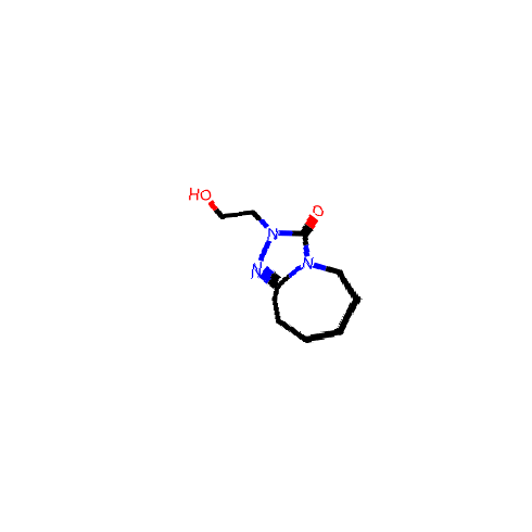 O=c1n(CCO)nc2n1CCCCC2